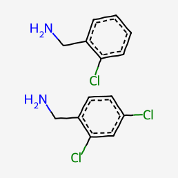 NCc1ccc(Cl)cc1Cl.NCc1ccccc1Cl